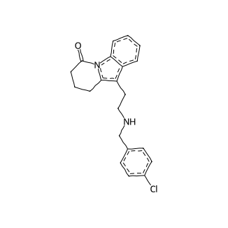 O=C1CCCc2c(CCNCc3ccc(Cl)cc3)c3ccccc3n21